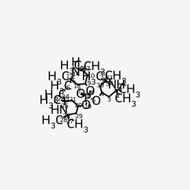 CC1(C)CC(OP(=O)(OC2CC(C)(C)NC(C)(C)C2)OC2CC(C)(C)NC(C)(C)C2)CC(C)(C)N1